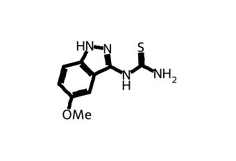 COc1ccc2[nH]nc(NC(N)=S)c2c1